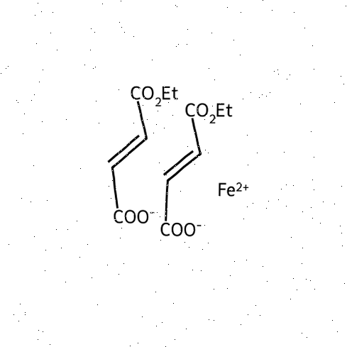 CCOC(=O)/C=C/C(=O)[O-].CCOC(=O)/C=C/C(=O)[O-].[Fe+2]